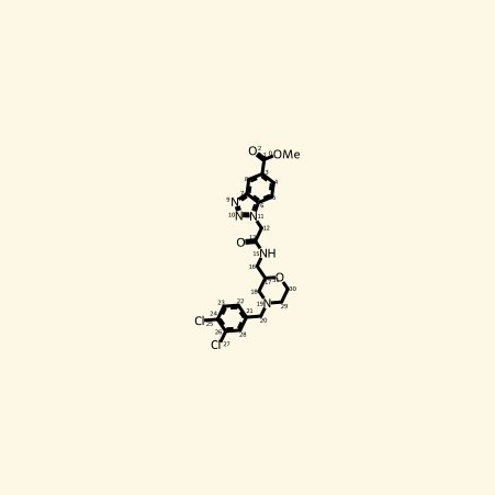 COC(=O)c1ccc2c(c1)nnn2CC(=O)NCC1CN(Cc2ccc(Cl)c(Cl)c2)CCO1